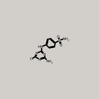 Nc1nc(Cl)nc(Nc2ccc(S(N)(=O)=O)cc2)n1